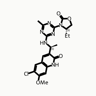 CC[C@H]1COC(=O)N1c1nc(C)nc(N[C@@H](C)c2cc3cc(Cl)c(OC)cc3[nH]c2=O)n1